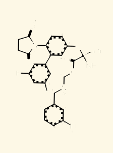 CCC[C@](N)(Oc1ccc(N2C(=O)CCC2=O)c(-c2cc(F)cc(F)c2)c1)C(=O)OCNCc1cccc(CC)c1